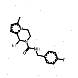 CCC1c2ccc(C)n2CCN1C(=O)NCc1ccc(F)cc1